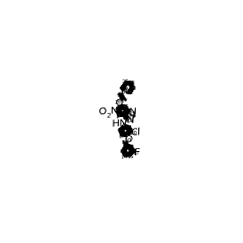 O=[N+]([O-])c1cc2c(Nc3ccc(OCc4cccc(F)c4)c(Cl)c3)ncnc2cc1OCCN1CCCCC1